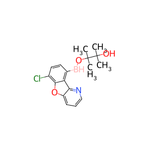 CC(C)(O)C(C)(C)OBc1ccc(Cl)c2oc3cccnc3c12